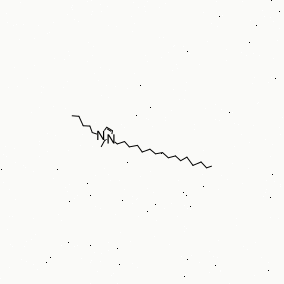 CCCCCCCCCCCCCCCCN1C=CN(CCCCC)C1C